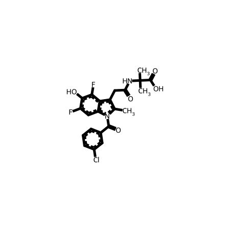 Cc1c(CC(=O)NC(C)(C)C(=O)O)c2c(F)c(O)c(F)cc2n1C(=O)c1cccc(Cl)c1